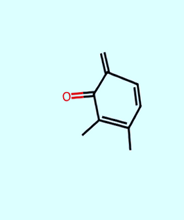 C=C1C=CC(C)=C(C)C1=O